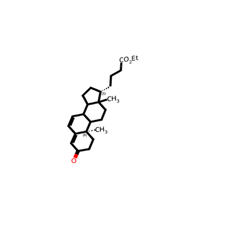 CCOC(=O)CCC[C@H]1CCC2C3C=CC4=CC(=O)CC[C@]4(C)C3CCC21C